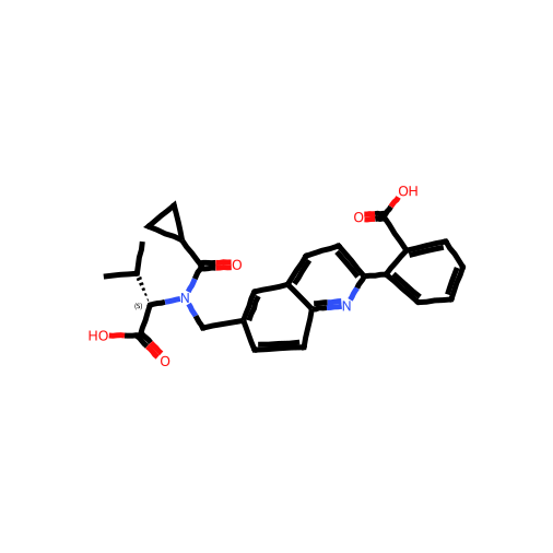 CC(C)[C@@H](C(=O)O)N(Cc1ccc2nc(-c3ccccc3C(=O)O)ccc2c1)C(=O)C1CC1